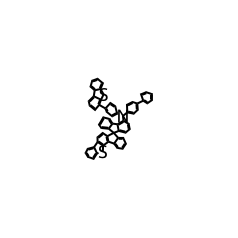 c1ccc(-c2ccc(N(c3ccc(-c4cccc5c4sc4ccccc45)cc3)c3cccc4c3-c3ccccc3C43c4ccccc4-c4c3ccc3c4sc4ccccc43)cc2)cc1